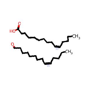 CCCC/C=C\CCCCCCCC=O.CCCC/C=C\CCCCCCCCC(=O)O